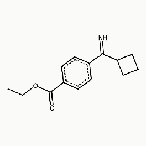 CCOC(=O)c1ccc(C(=N)C2CCC2)cc1